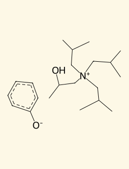 CC(C)C[N+](CC(C)C)(CC(C)C)CC(C)O.[O-]c1ccccc1